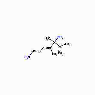 C=C(C)C(C)(N)/C(C)=C/C=C/N